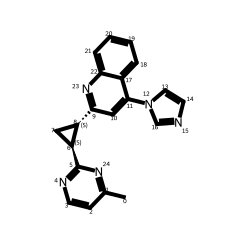 Cc1ccnc([C@H]2C[C@@H]2c2cc(-n3ccnc3)c3ccccc3n2)n1